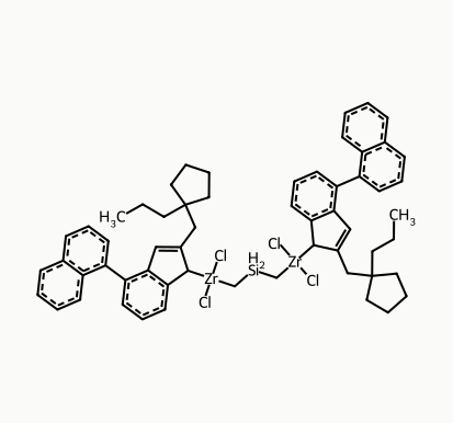 CCCC1(CC2=Cc3c(-c4cccc5ccccc45)cccc3[CH]2[Zr]([Cl])([Cl])[CH2][SiH2][CH2][Zr]([Cl])([Cl])[CH]2C(CC3(CCC)CCCC3)=Cc3c(-c4cccc5ccccc45)cccc32)CCCC1